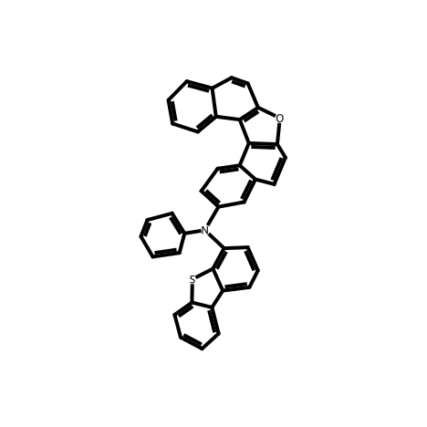 c1ccc(N(c2ccc3c(ccc4oc5ccc6ccccc6c5c43)c2)c2cccc3c2sc2ccccc23)cc1